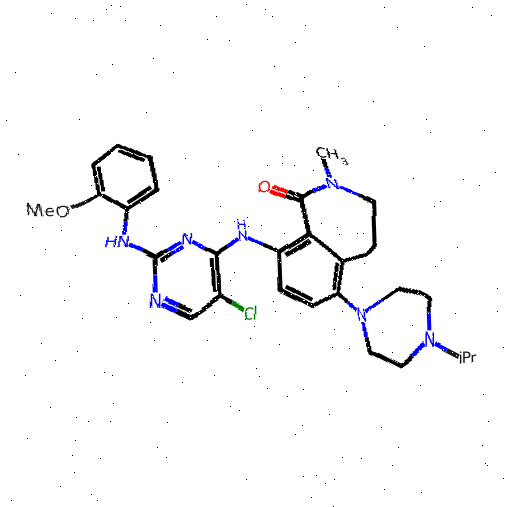 COc1ccccc1Nc1ncc(Cl)c(Nc2ccc(N3CCN(C(C)C)CC3)c3c2C(=O)N(C)CC3)n1